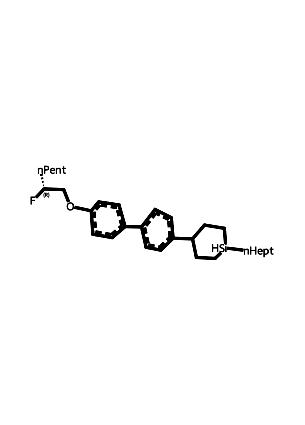 CCCCCCC[SiH]1CCC(c2ccc(-c3ccc(OC[C@H](F)CCCCC)cc3)cc2)CC1